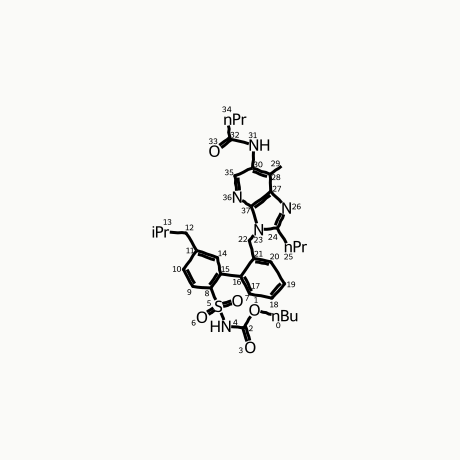 CCCCOC(=O)NS(=O)(=O)c1ccc(CC(C)C)cc1-c1ccccc1Cn1c(CCC)nc2c(C)c(NC(=O)CCC)cnc21